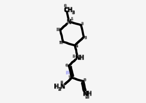 CN1CCC(N/C=C(/N)C=N)CC1